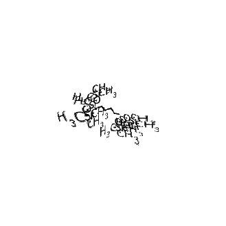 C[Si](C)(C)O[Si](O)(CCCCCC[Si](O)(O[Si](C)(C)C)O[Si](C)(C)C)O[Si](C)(C)C